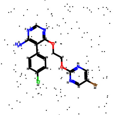 Nc1ncnc(OCCOc2ncc(Br)cn2)c1-c1ccc(Cl)cc1